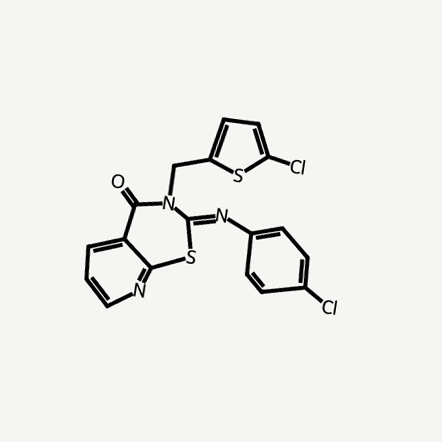 O=c1c2cccnc2s/c(=N\c2ccc(Cl)cc2)n1Cc1ccc(Cl)s1